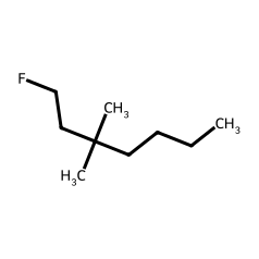 CCCCC(C)(C)CCF